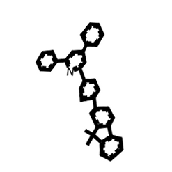 CC1(C)c2ccccc2-c2ccc(-c3ccc(-c4cc(-c5ccccc5)cc(-c5ccccc5)n4)cc3)cc21